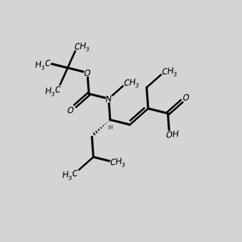 CCC(=C[C@H](CC(C)C)N(C)C(=O)OC(C)(C)C)C(=O)O